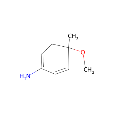 COC1(C)C=CC(N)=CC1